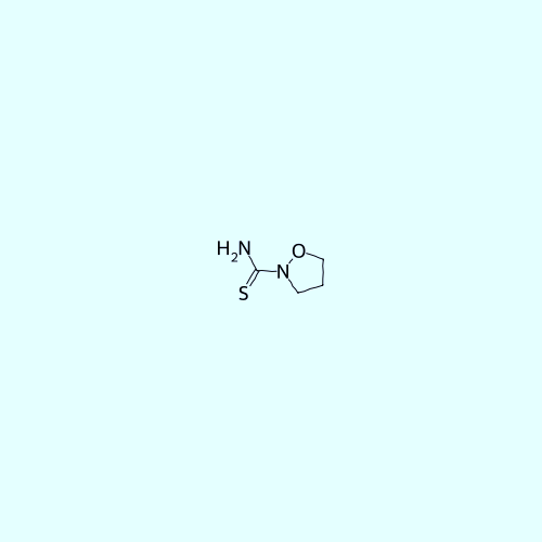 NC(=S)N1CCCO1